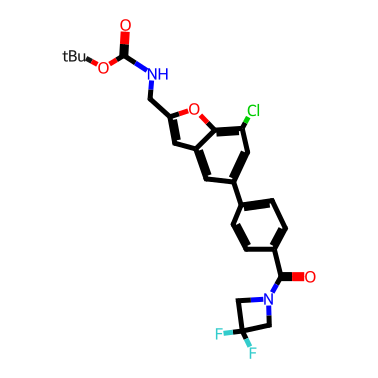 CC(C)(C)OC(=O)NCc1cc2cc(-c3ccc(C(=O)N4CC(F)(F)C4)cc3)cc(Cl)c2o1